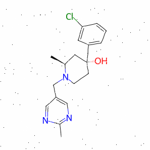 Cc1ncc(CN2CC[C@](O)(c3cccc(Cl)c3)C[C@@H]2C)cn1